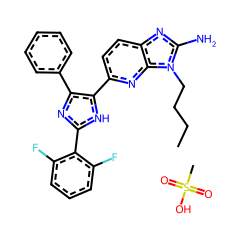 CCCCn1c(N)nc2ccc(-c3[nH]c(-c4c(F)cccc4F)nc3-c3ccccc3)nc21.CS(=O)(=O)O